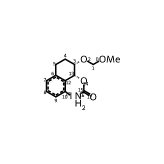 COCO[C@H]1CCc2cccc(I)c2[C@H]1OC(N)=O